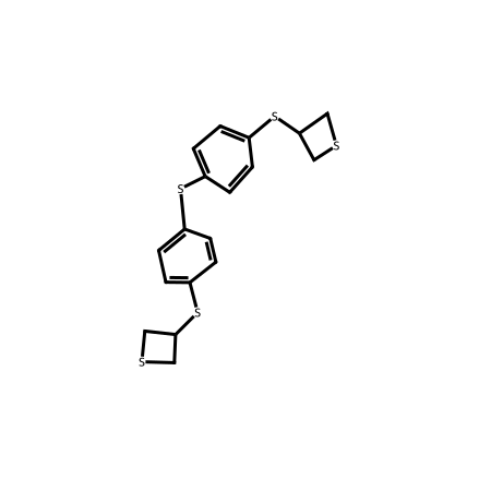 c1cc(SC2CSC2)ccc1Sc1ccc(SC2CSC2)cc1